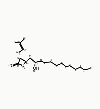 CCCCCCCCCCC[C@@H](O)C[C@H]1OC(=O)[C@@H]1CC=C(C)C